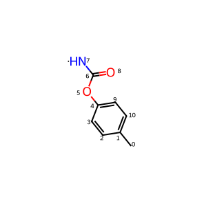 Cc1ccc(OC([NH])=O)cc1